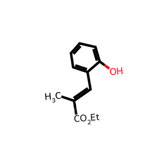 CCOC(=O)C(C)=Cc1ccccc1O